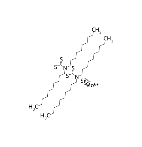 CCCCCCCCCCN(CCCCCCCCCC)C(=S)[S-].CCCCCCCCCCN(CCCCCCCCCC)C(=S)[S-].[Mo+6].[S-2].[S-2]